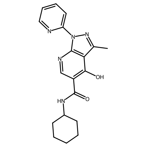 Cc1nn(-c2ccccn2)c2ncc(C(=O)NC3CCCCC3)c(O)c12